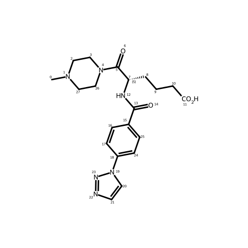 CN1CCN(C(=O)[C@H](CCCC(=O)O)NC(=O)c2ccc(-n3ccnn3)cc2)CC1